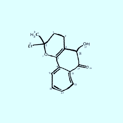 CCC1(C)CCC2=C(O1)c1ccccc1C(=O)C2O